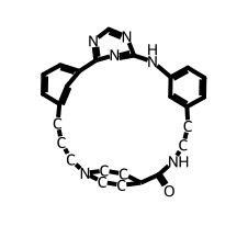 O=C1NCCc2cccc(c2)Nc2ncnc(n2)-c2cccc(c2)CCCN2CCC1CC2